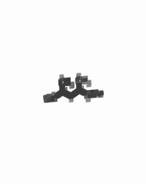 CNC(C)CC(C)C(C)(C)C